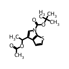 CC(=O)OC(C)c1cn(C(=O)OC(C)(C)C)c2sccc12